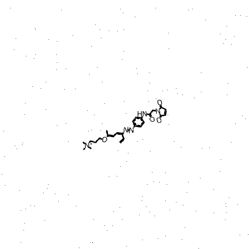 C=CC(=C\C=C(/C)OCCC[N+](C)(C)C)/N=N/c1ccc(NC(=O)CN2C(=O)C=CC2=O)cc1